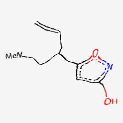 C=CC(CNC)c1cc(O)no1